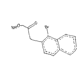 COC(=O)Cc1ccc2ccccc2c1Br